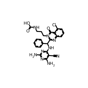 N#Cc1c(N)nc(N)nc1NC(c1ccccc1)c1nc2cccc(Cl)c2c(=O)n1CCCNC(=O)O